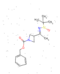 C/C(=N\[S+]([O-])C(C)(C)C)C1CN(C(=O)OCc2ccccc2)C1